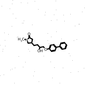 CN1CC(CCC(O)COc2ccc(-c3ccccc3)cc2)CC1=O